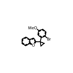 COc1ccc(Br)c(C2(c3cc4ccccc4o3)CC2)c1